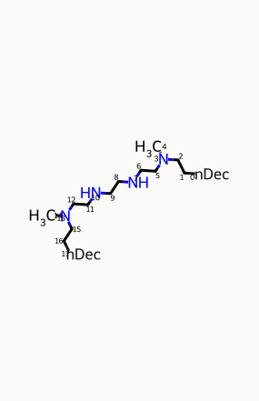 CCCCCCCCCCCCN(C)CCNCCNCCN(C)CCCCCCCCCCCC